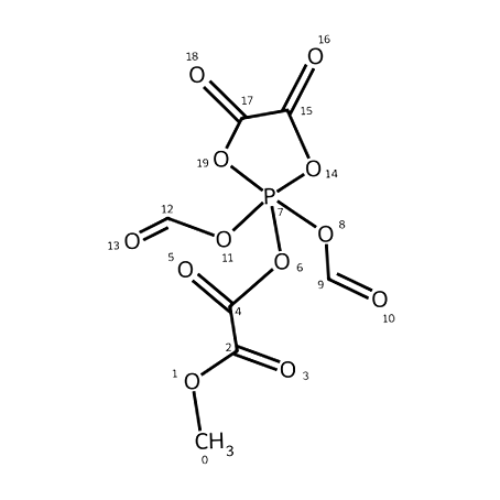 COC(=O)C(=O)OP1(OC=O)(OC=O)OC(=O)C(=O)O1